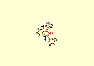 O=C(OC1C2CCN(CC2)C1I)C(Nc1ccccc1)c1cccc(F)c1